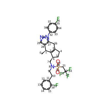 C[C@@H]1C2=C(CC[C@H]2CN(CCc2ccccc2F)S(=O)(=O)CC(F)(F)F)Cc2c1cnn2-c1ccc(F)cc1